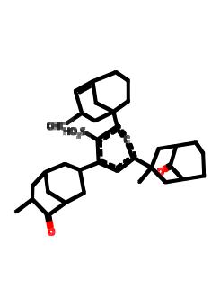 CC1CC2CC(CC(c3cc(C4(C)CC5CCCC(C4)C5=O)cc(C45CCCC(=CC(C=O)C4)C5)c3S(=O)(=O)O)C2)C1=O